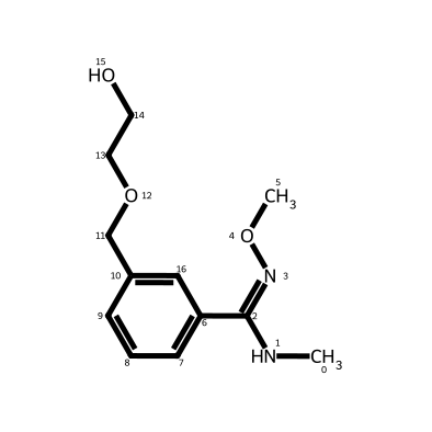 CN/C(=N/OC)c1cccc(COCCO)c1